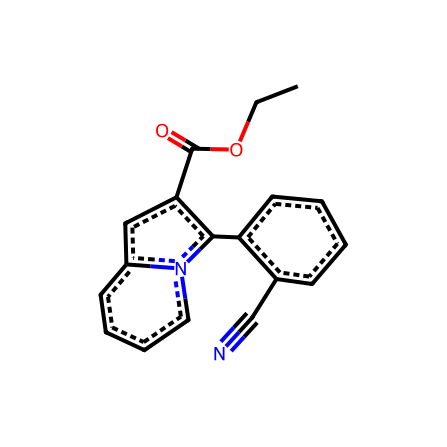 CCOC(=O)c1cc2ccccn2c1-c1ccccc1C#N